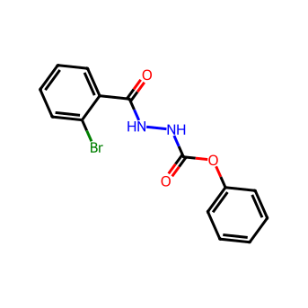 O=C(NNC(=O)c1ccccc1Br)Oc1ccccc1